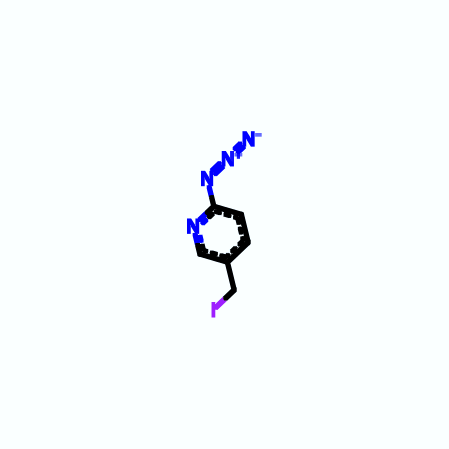 [N-]=[N+]=Nc1ccc(CI)cn1